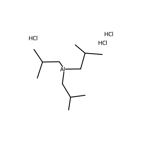 CC(C)[CH2][Al]([CH2]C(C)C)[CH2]C(C)C.Cl.Cl.Cl